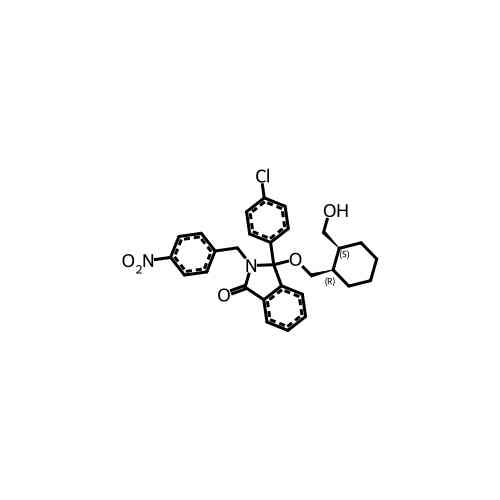 O=C1c2ccccc2C(OC[C@@H]2CCCC[C@@H]2CO)(c2ccc(Cl)cc2)N1Cc1ccc([N+](=O)[O-])cc1